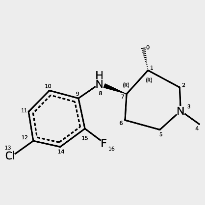 C[C@@H]1CN(C)CC[C@H]1Nc1ccc(Cl)cc1F